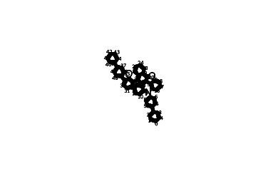 c1ccc(-c2ccc(N(c3ccccc3)c3cccc4oc5c6ccccc6c(-c6cccc7c6oc6cc(-c8ccccc8)ccc67)cc5c34)cc2)cc1